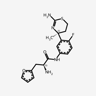 C[C@@]1(c2cc(NC(=O)[C@@H](N)Cc3ccco3)ccc2F)CCSC(N)=N1